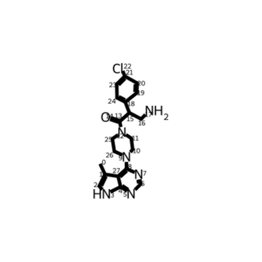 Cc1c[nH]c2ncnc(N3CCN(C(=O)C(CN)c4ccc(Cl)cc4)CC3)c12